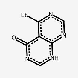 CCc1ncnc2[nH]cnc(=O)c12